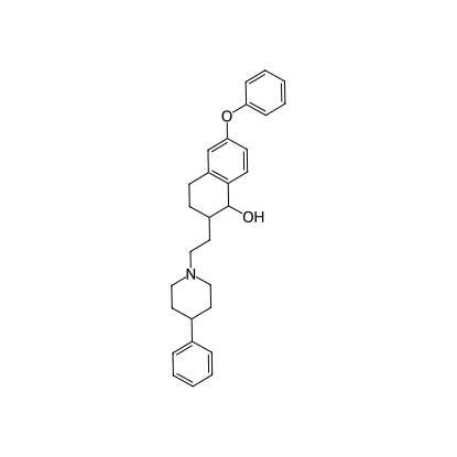 OC1c2ccc(Oc3ccccc3)cc2CCC1CCN1CCC(c2ccccc2)CC1